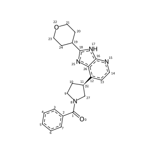 O=C(c1ccccc1)N1CC[C@@H](c2ccnc3[nH]c(C4CCOCC4)nc23)C1